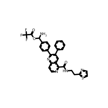 NC(OC(=O)C(F)(F)F)c1ccc(-c2nc3ccnc(C(=O)NCCc4nccs4)c3cc2-c2ccccc2)cc1